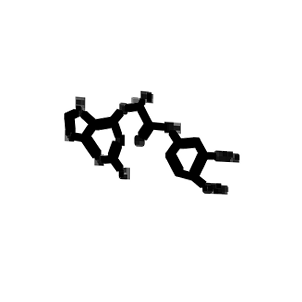 CC[C@@H](Sc1nc(Cl)nc2nc[nH]c12)C(=O)Nc1ccc(OC)c(OC)c1